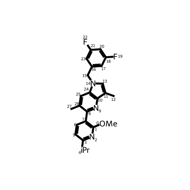 COc1nc(C(C)C)ccc1-c1nc2c(C)cn(Cc3cc(F)cc(F)c3)c2cc1C